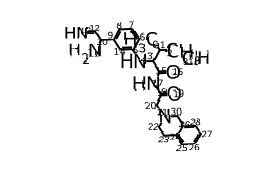 CC(C)C(Nc1cccc(C(N)C=N)c1)C(=O)NC(=O)CN1CCc2ccccc2C1.Cl